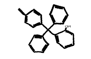 Cc1ccc(C(c2ccccc2)(c2ccccc2)c2ccccc2O)cc1